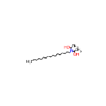 CCCCCCCCCCCCCCCCCN(C(C)O)C(C)O